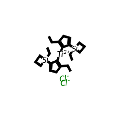 CCC1=[C]([Ti+2][C]2=C(CC)CC=C2[Si]2(CC)CCC2)C([Si]2(CC)CCC2)=CC1.[Cl-].[Cl-]